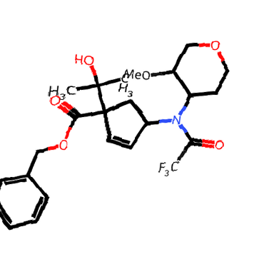 COC1COCCC1N(C(=O)C(F)(F)F)C1C=CC(C(=O)OCc2ccccc2)(C(C)(C)O)C1